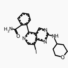 NC(=O)c1ccccc1-c1ncc(I)c2nc(NC3CCOCC3)ncc12